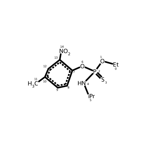 CCOP(=S)(NC(C)C)Oc1ccc(C)cc1[N+](=O)[O-]